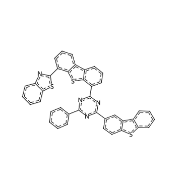 c1ccc(-c2nc(-c3ccc4sc5ccccc5c4c3)nc(-c3cccc4c3sc3c(-c5nc6ccccc6s5)cccc34)n2)cc1